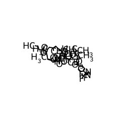 C#CCCC(=O)O[C@@H]1[C@H](C)/C=C(C)/C=C(\OC)C(=O)O[C@H]([C@@H](C)[C@@H](O)[C@H](C)[C@@]2(O)C[C@@H](OC(=O)c3ccc(C4(C(F)(F)F)N=N4)cc3)[C@H](C)[C@@H](C(C)C)O2)[C@@H](OC)/C=C/C=C(\C)C[C@@H]1C